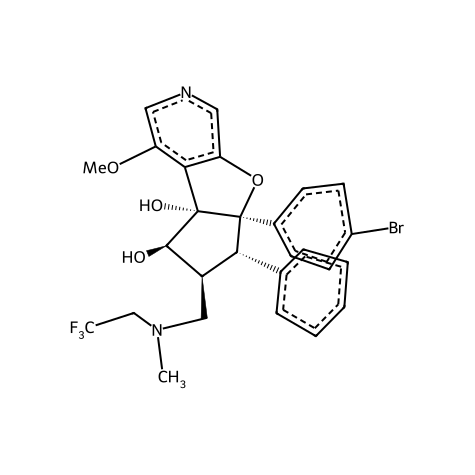 COc1cncc2c1[C@]1(O)[C@H](O)[C@H](CN(C)CC(F)(F)F)[C@@H](c3ccccc3)[C@]1(c1ccc(Br)cc1)O2